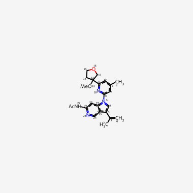 C=C(C)c1cn(-c2cc(C)cc(C3(OC)CCOC3)n2)c2cc(NC(C)=O)ncc12